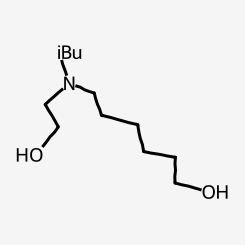 CCC(C)N(CCO)CCCCCCO